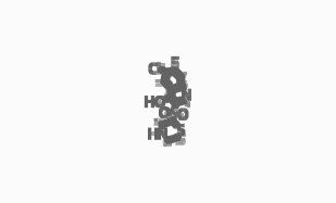 O=S(=O)(c1cnc2cc(F)c(Cl)cc2c1O)C1CNCCS1